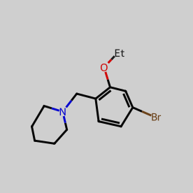 CCOc1cc(Br)ccc1CN1CCCCC1